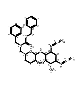 CC(=O)OC1CC[C@@H](CN(Cc2ccccc2)C(=O)OCc2ccccc2)OC1OC1C(N=[N+]=[N-])CC(N=[N+]=[N-])[C@H](OC(C)=O)[C@H]1OC(C)=O